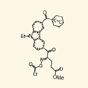 CCC(=O)ON=C(CCC(=O)OC)C(=O)c1ccc2c(c1)c1cc(C(=O)C34CCC(CC3)CC4)ccc1n2CC